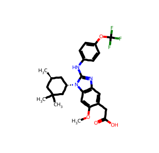 COc1cc2c(cc1CC(=O)O)nc(Nc1ccc(OC(F)(F)F)cc1)n2[C@H]1C[C@H](C)CC(C)(C)C1